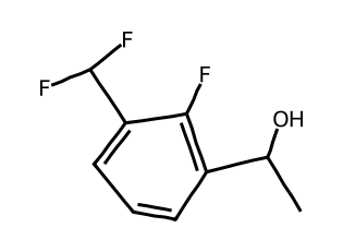 CC(O)c1cccc(C(F)F)c1F